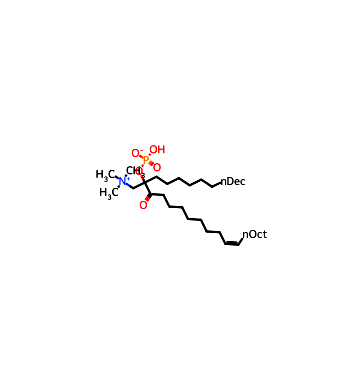 CCCCCCCC/C=C\CCCCCCCC(=O)C(CCCCCCCCCCCCCCCC)(C[N+](C)(C)C)OP(=O)([O-])O